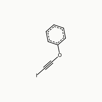 IC#COc1ccccc1